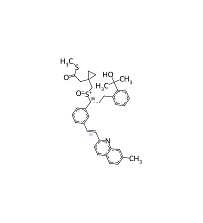 CSC(=O)CC1(C[S+]([O-])[C@H](CCc2ccccc2C(C)(C)O)c2cccc(/C=C/c3ccc4ccc(C)cc4n3)c2)CC1